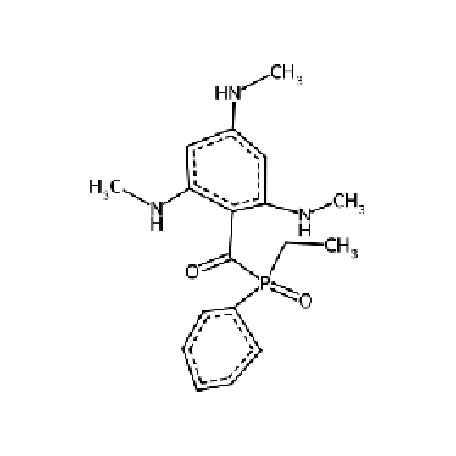 CCP(=O)(C(=O)c1c(NC)cc(NC)cc1NC)c1ccccc1